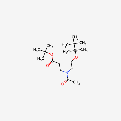 CC(=O)N(CCO[Si](C)(C)C(C)(C)C)CCC(=O)OC(C)(C)C